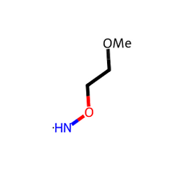 COCCO[NH]